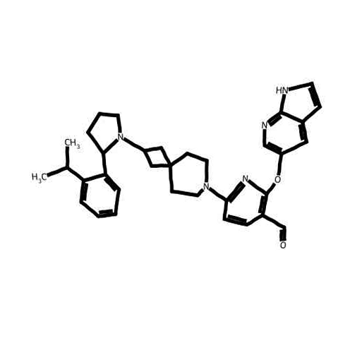 CC(C)c1ccccc1C1CCCN1C1CC2(CCN(c3ccc(C=O)c(Oc4cnc5[nH]ccc5c4)n3)CC2)C1